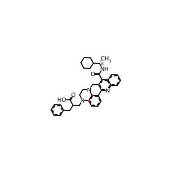 C[C@H](NC(=O)c1c(CN2CCN(CC(Cc3ccccc3)C(=O)O)CC2)c(-c2ccccc2)nc2ccccc12)C1CCCCC1